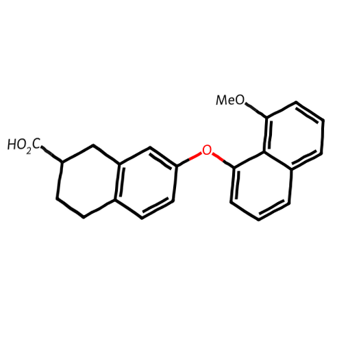 COc1cccc2cccc(Oc3ccc4c(c3)CC(C(=O)O)CC4)c12